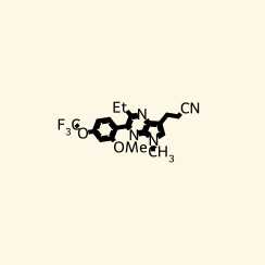 CCc1nc2c(CCC#N)cn(C)c2nc1-c1ccc(OC(F)(F)F)cc1OC